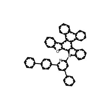 c1ccc(-c2ccc(-c3cc(-c4ccccc4)cc(-n4c5ccccc5c5c6c7ccccc7c7ccccc7c6c6c7ccccc7oc6c54)n3)cc2)cc1